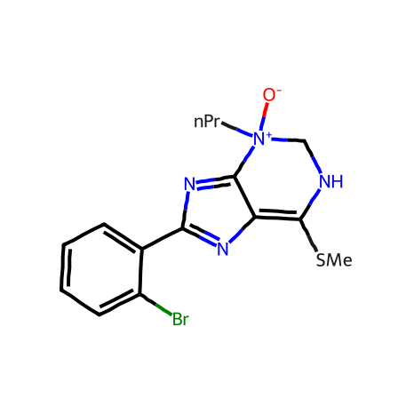 CCC[N+]1([O-])CNC(SC)=C2N=C(c3ccccc3Br)N=C21